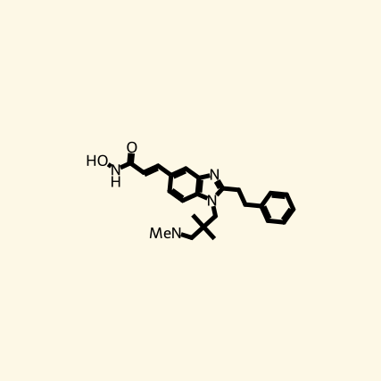 CNCC(C)(C)Cn1c(CCc2ccccc2)nc2cc(/C=C/C(=O)NO)ccc21